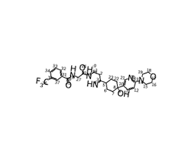 C[C@H](CC(=N)C1CCC(O)(c2ccc(N3CCOCC3)nc2)CC1)NC(=O)CNC(=O)c1cccc(C(F)(F)F)c1